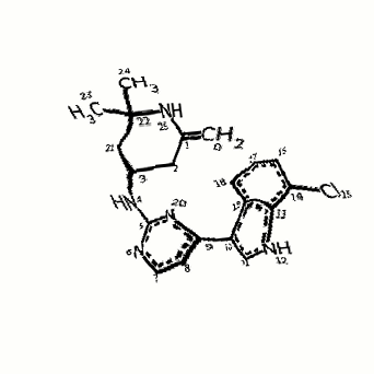 C=C1CC(Nc2nccc(-c3c[nH]c4c(Cl)cccc34)n2)CC(C)(C)N1